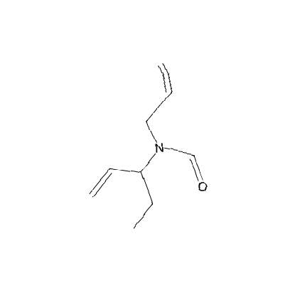 C=CCN(C=O)C(C=C)CC